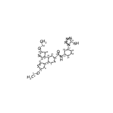 CCOc1cc(-c2ccc(C(=O)Nc3cccc(-n4nnnc4S)c3)cc2-c2csc(OCC)c2)cs1